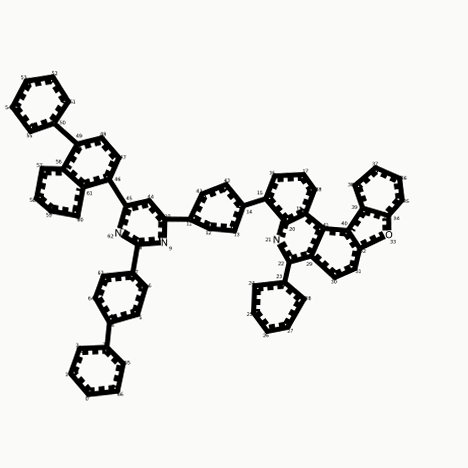 c1ccc(-c2ccc(-c3nc(-c4ccc(-c5cccc6c5nc(-c5ccccc5)c5ccc7oc8ccccc8c7c56)cc4)cc(-c4ccc(-c5ccccc5)c5ccccc45)n3)cc2)cc1